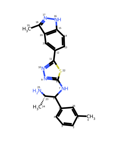 Cc1cccc(C(Nc2nnc(-c3ccc4[nH]nc(C)c4c3)s2)[C@H](C)N)c1